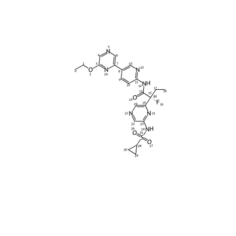 CCOc1cncc(-c2ccc(NC(=O)[C@@](F)(CC)c3cncc(NS(=O)(=O)C4CC4)n3)nc2)n1